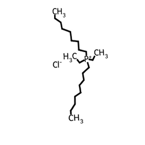 CCCCCCCCC[P+](CC)(CC)CCCCCCCCC.[Cl-]